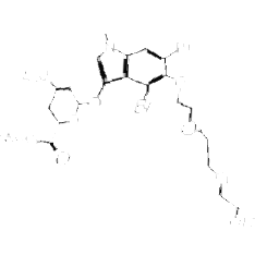 COC(=O)[C@@H]1CC(OC(C)=O)CC(Oc2cn(C)c3cc(Br)c(OCCOCCOCCO)c(Br)c23)O1